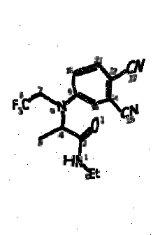 CCNC(=O)C(C)N(CC(F)(F)F)c1ccc(C#N)c(C#N)c1